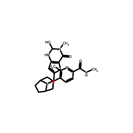 CNC(=O)c1ccc(N2CC3CCC(C2)N3Cc2cc3c(s2)C(=O)N(C)C(O)N3)c(C)n1